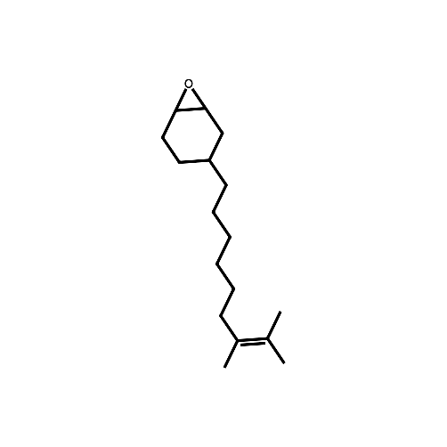 CC(C)=C(C)CCCCCCC1CCC2OC2C1